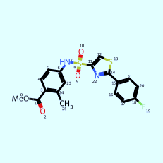 COC(=O)c1ccc(NS(=O)(=O)c2csc(-c3ccc(F)cc3)n2)cc1C